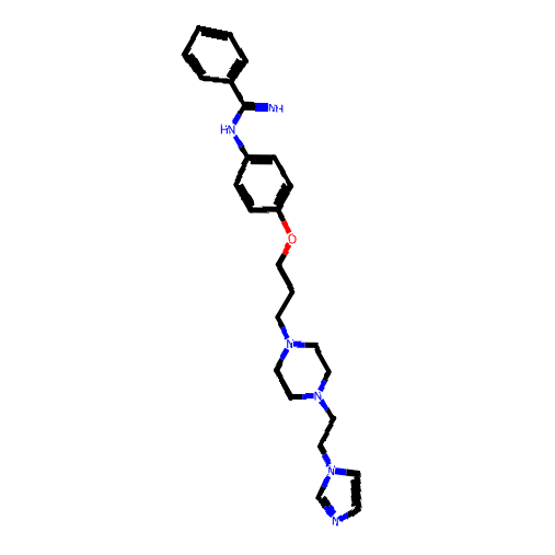 N=C(Nc1ccc(OCCCN2CCN(CCn3ccnc3)CC2)cc1)c1ccccc1